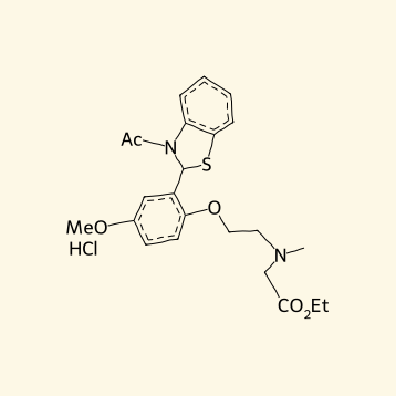 CCOC(=O)CN(C)CCOc1ccc(OC)cc1C1Sc2ccccc2N1C(C)=O.Cl